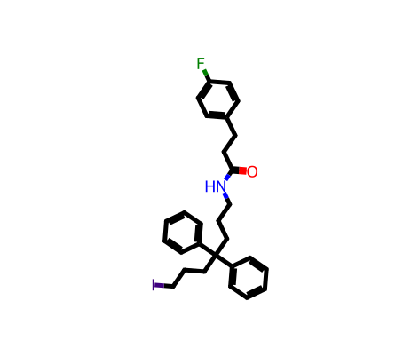 O=C(CCc1ccc(F)cc1)NCCCC(CCCI)(c1ccccc1)c1ccccc1